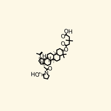 C=C(C)[C@@H]1CC[C@]2(CC(=O)N3CCC[C@@H]3CO)CC[C@]3(C)[C@H](CCC4[C@@]5(C)CC[C@H](OC(=O)CC(C)(C)CC(=O)O)C(C)(C)C5CC[C@]43C)[C@@H]12